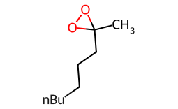 CCCCCCCC1(C)OO1